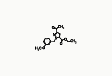 CCOC(=O)c1cc(C(C)=O)nn1Cc1cccc(OC)c1